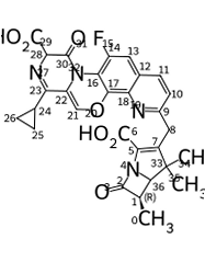 C[C@H]1C(=O)N2C(C(=O)O)=C(Cc3ccc4cc(F)c5c(c4n3)OC=C3C(C4CC4)=NC(C(=O)O)C(=O)N35)C(C)(C)C12